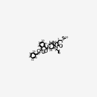 C=CCN1C(=O)C(CCSC)NC12CCN(C(=O)c1ccccc1C(=O)OCc1ccccc1)CC2